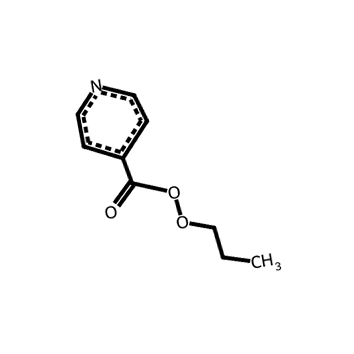 CCCOOC(=O)c1ccncc1